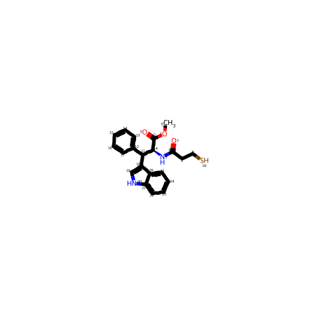 COC(=O)[C@@H](NC(=O)CCS)C(c1ccccc1)c1c[nH]c2ccccc12